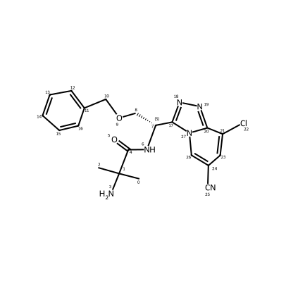 CC(C)(N)C(=O)N[C@H](COCc1ccccc1)c1nnc2c(Cl)cc(C#N)cn12